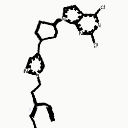 C=C/C(=C\C)CCn1cc(C2CCC(n3ccc4c(Cl)nc(Cl)nc43)C2)cn1